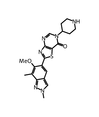 COc1c(-c2nc3ncn(C4CCNCC4)c(=O)c3s2)cc2cn(C)nc2c1C